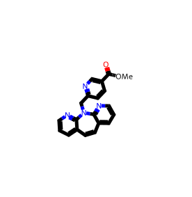 COC(=O)c1ccc(CN2c3ncccc3C=Cc3cccnc32)nc1